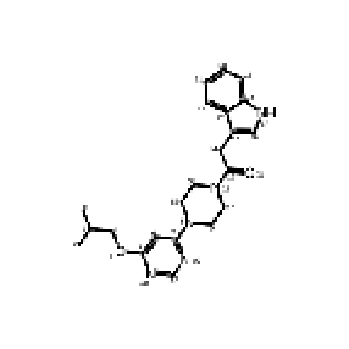 CC(C)COc1cc(N2CCN(C(=O)Cc3c[nH]c4ccccc34)CC2)ncn1